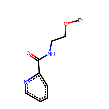 CCOCCNC(=O)c1ccccn1